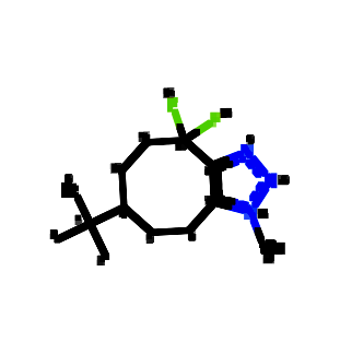 CCC(C)(C)C1CCc2c(nnn2C(C)(C)C)C(F)(F)CC1